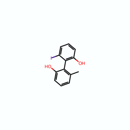 Cc1cccc(O)c1-c1c(O)cccc1I